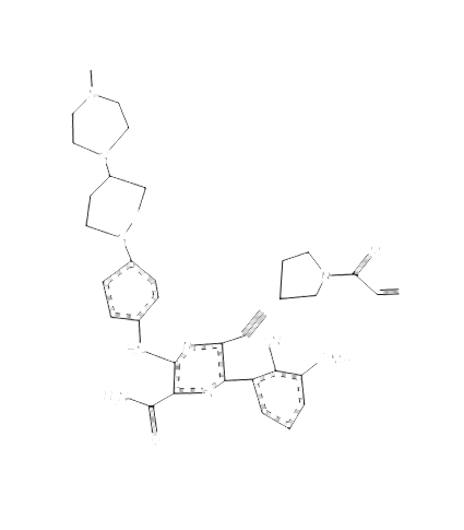 C=CC(=O)N1CC[C@@H](C#Cc2nc(Nc3ccc(N4CCC(N5CCN(C)CC5)CC4)cc3)c(C(N)=O)nc2-c2cccc(OC)c2C#N)C1